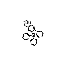 CC(C)(C)Cc1ccc2c(c1)[Si](c1ccccc1)(c1ccccc1)c1ccccc1-2